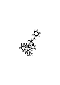 CCOC(OCC)(SN1CCC[C@@]1(SC(=O)OCc1ccccc1)C(=O)O)[C@@H]1CCCN1